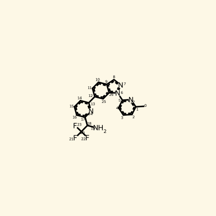 Cc1cccc(-n2ncc3ccc(-c4cccc(C(N)C(F)(F)F)n4)cc32)n1